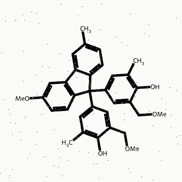 COCc1cc(C2(c3cc(C)c(O)c(COC)c3)c3ccc(C)cc3-c3cc(OC)ccc32)cc(C)c1O